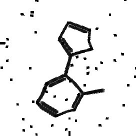 Cc1ccccc1C1=CC=CC1